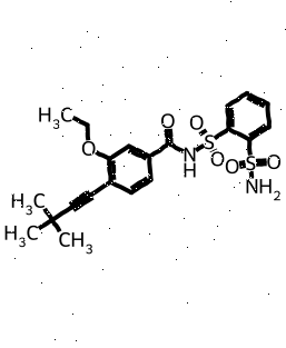 CCOc1cc(C(=O)NS(=O)(=O)c2ccccc2S(N)(=O)=O)ccc1C#CC(C)(C)C